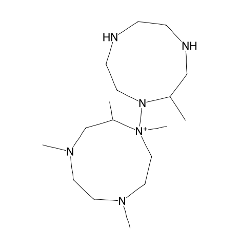 CC1CNCCNCCN1[N+]1(C)CCN(C)CCN(C)CC1C